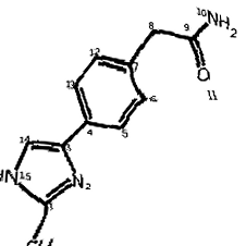 Cc1nc(-c2ccc(CC(N)=O)cc2)c[nH]1